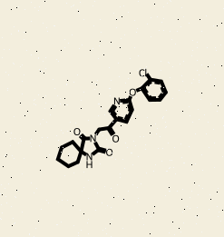 O=C(CN1C(=O)NC2(CCCCC2)C1=O)c1ccc(Oc2ccccc2Cl)nc1